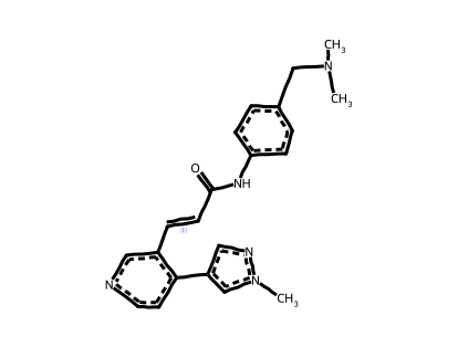 CN(C)Cc1ccc(NC(=O)/C=C/c2cnccc2-c2cnn(C)c2)cc1